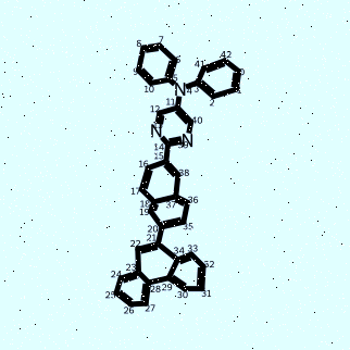 c1ccc(N(c2ccccc2)c2cnc(-c3ccc4cc(-c5cc6ccccc6c6ccccc56)ccc4c3)nc2)cc1